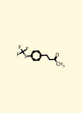 CC(=O)CCc1ccc(SC(F)(F)F)cc1